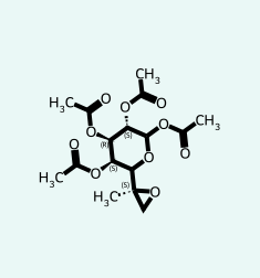 CC(=O)OC1OC([C@]2(C)CO2)[C@@H](OC(C)=O)[C@@H](OC(C)=O)[C@@H]1OC(C)=O